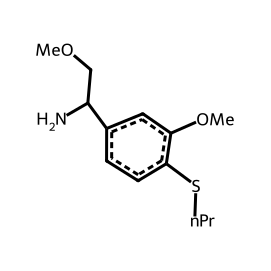 CCCSc1ccc(C(N)COC)cc1OC